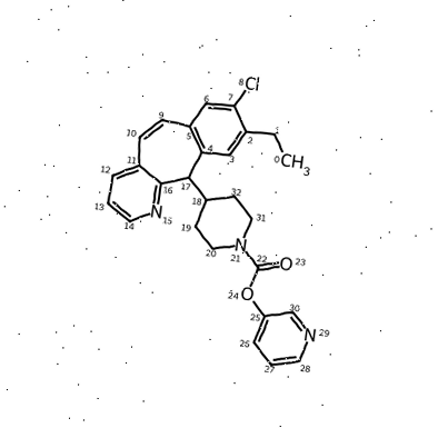 CCc1cc2c(cc1Cl)C=Cc1cccnc1C2C1CCN(C(=O)Oc2cccnc2)CC1